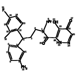 CCCN(CCC(c1cccc(P)c1)c1ccc(F)cc1C)C(=O)c1[nH]ncc(=O)c1O